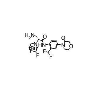 CC(C)(C)CN(CC(F)F)[C@H](CN)C(=O)Nc1ccc(N2CCOCC2=O)cc1C(F)F